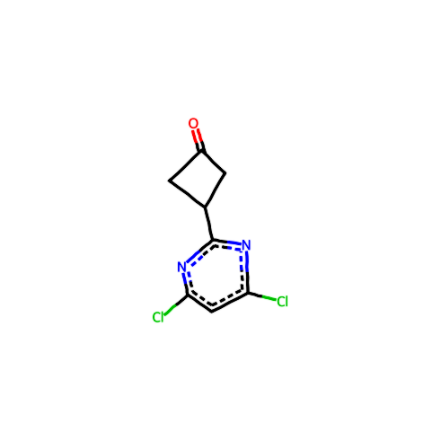 O=C1CC(c2nc(Cl)cc(Cl)n2)C1